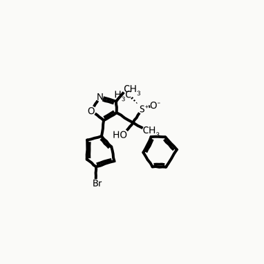 Cc1noc(-c2ccc(Br)cc2)c1C(C)(O)[S@+](C)[O-].c1ccccc1